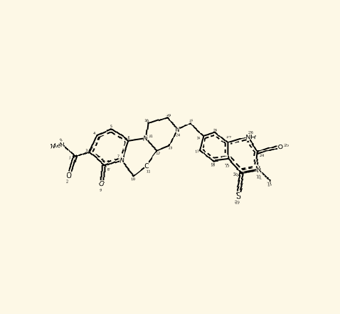 CNC(=O)c1ccc2n(c1=O)CCC1CN(Cc3ccc4c(=S)n(C)c(=O)[nH]c4c3)CCN21